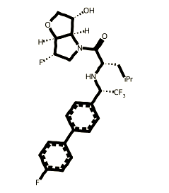 CC(C)C[C@H](N[C@@H](c1ccc(-c2ccc(F)cc2)cc1)C(F)(F)F)C(=O)N1C[C@H](F)[C@H]2OC[C@H](O)[C@H]21